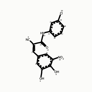 N#CC(=Cc1cc(O)c(O)c([N+](=O)[O-])c1)C(=O)Nc1cccc(Cl)c1